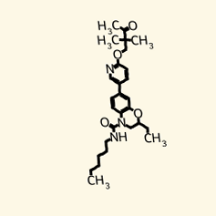 CCCCCCNC(=O)N1CC(CC)Oc2cc(-c3ccc(OCC(C)(C)C(C)=O)nc3)ccc21